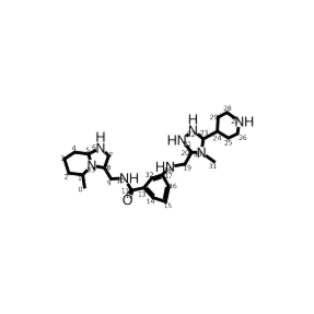 CC1CCCC2NCC(CNC(=O)c3cccc(NCC4NNC(C5CCNCC5)N4C)c3)N12